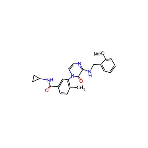 COc1ccccc1CNc1nccn(-c2cc(C(=O)NC3CC3)ccc2C)c1=O